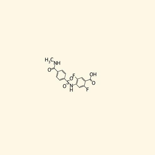 CNC(=O)c1ccc(S(=O)(=O)Nc2cc(F)c(C(=O)O)cc2F)cc1